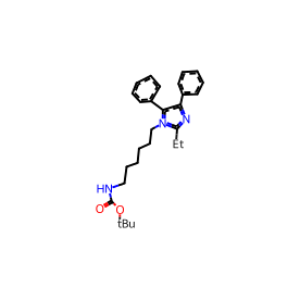 CCc1nc(-c2ccccc2)c(-c2ccccc2)n1CCCCCCNC(=O)OC(C)(C)C